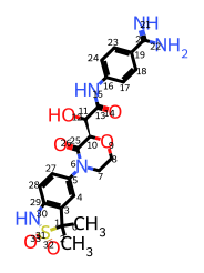 CC1(C)c2cc(N3CCO[C@H](C(O)C(=O)Nc4ccc(C(=N)N)cc4)C3=O)ccc2NS1(=O)=O